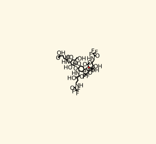 O=C(O)CCC(=O)NC1C(O)C(CO)OC(OC2C(NC(=O)[C@@H](O)CCNC(=O)C(F)(F)F)CC(NC(=O)C(F)(F)F)C(OC3OC(CNC(=O)C(F)(F)F)C(O)C(O)C3O)C2O)C1O